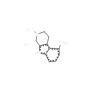 CC[C@H]1c2[nH]c3cccc(OC)c3c2CCN1C